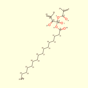 C=C(C)C(=O)[O][Ti](=[O])([O]C(=O)CCCCCCCCCCCCCCC(C)C)[C](=O)C(=C)C